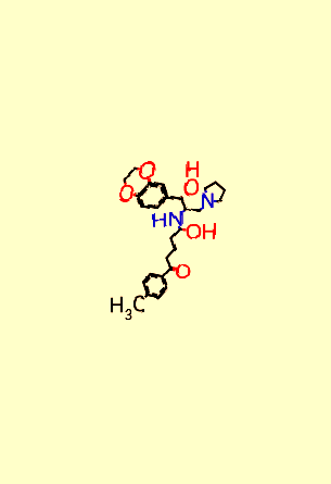 Cc1ccc(C(=O)CCCC(O)N[C@H](CN2CCCC2)[C@H](O)c2ccc3c(c2)OCCO3)cc1